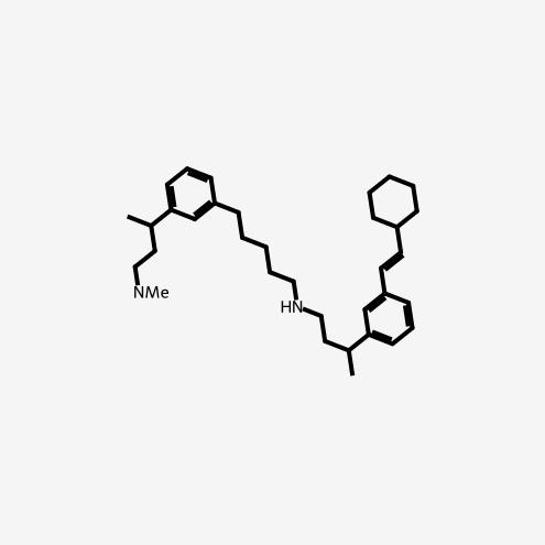 CNCCC(C)c1cccc(CCCCCNCCC(C)c2cccc(/C=C/C3CCCCC3)c2)c1